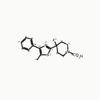 Cc1sc(C2(F)CCN(C(=O)O)CC2)nc1-c1ccccc1